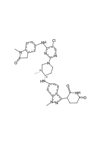 C[C@@H]1CN(c2ncc(Cl)c(Nc3ccc4c(c3)CC(=O)N4C)n2)CC[C@@H]1Nc1ccc2c(C3CCC(=O)NC3=O)nn(C)c2c1